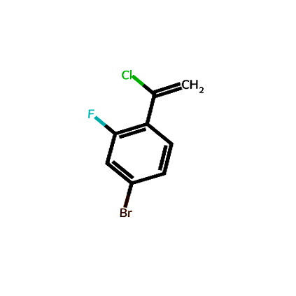 C=C(Cl)c1ccc(Br)cc1F